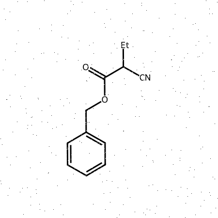 CCC(C#N)C(=O)OCc1ccccc1